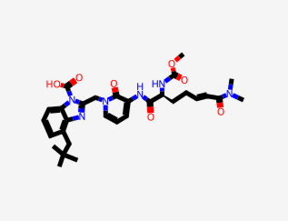 COC(=O)N[C@@H](CC/C=C/C(=O)N(C)C)C(=O)Nc1cccn(Cc2nc3c(CC(C)(C)C)cccc3n2C(=O)O)c1=O